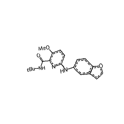 COc1ccc(Nc2ccc3occc3c2)nc1C(=O)NC(C)(C)C